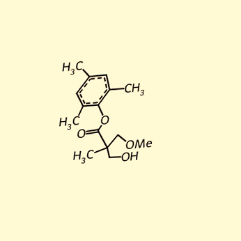 COCC(C)(CO)C(=O)Oc1c(C)cc(C)cc1C